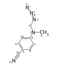 CN(CN=[N+]=[N-])c1ccc(C#N)cc1